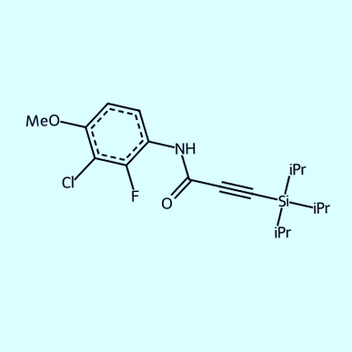 COc1ccc(NC(=O)C#C[Si](C(C)C)(C(C)C)C(C)C)c(F)c1Cl